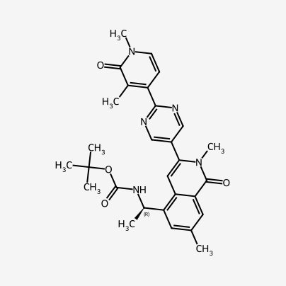 Cc1cc([C@@H](C)NC(=O)OC(C)(C)C)c2cc(-c3cnc(-c4ccn(C)c(=O)c4C)nc3)n(C)c(=O)c2c1